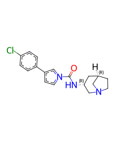 O=C(N[C@@H]1C[C@H]2CCN(C2)C1)n1ccc(-c2ccc(Cl)cc2)c1